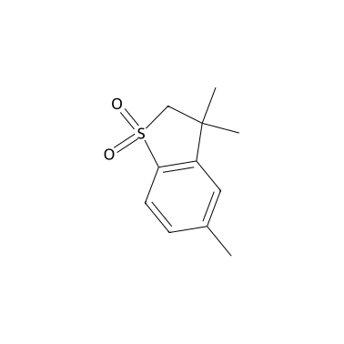 Cc1ccc2c(c1)C(C)(C)CS2(=O)=O